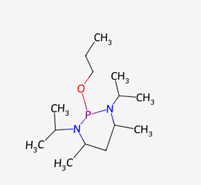 CCCOP1N(C(C)C)C(C)CC(C)N1C(C)C